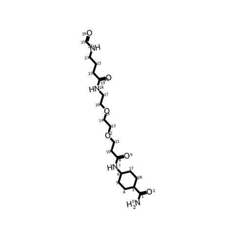 NC(=O)C1CCC(NC(=O)CCOCCOCCNC(=O)CCCNC=O)CC1